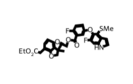 CCOC(=O)Cc1cccc2c1OCC2(C)C(=O)COC(=O)c1cc(Oc2c(F)cc3[nH]ccc3c2SC)ccc1F